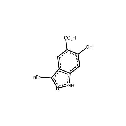 CCCc1n[nH]c2cc(O)c(C(=O)O)cc12